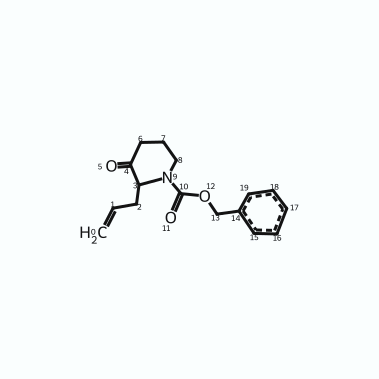 C=CCC1C(=O)CCCN1C(=O)OCc1ccccc1